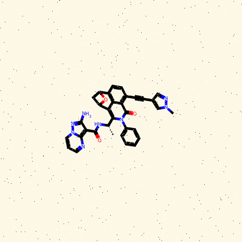 C[C@H](NC(=O)c1c(N)nn2cccnc12)c1c2c3c(ccc(C#Cc4cnn(C)c4)c3c(=O)n1-c1ccccc1)C1CC2O1